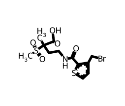 CC(CCNC(=O)c1sccc1CBr)(C(=O)O)S(C)(=O)=O